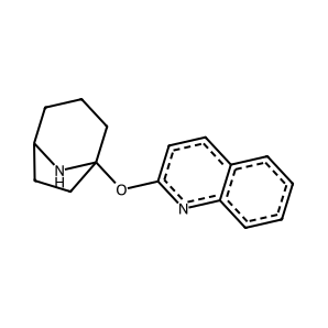 c1ccc2nc(OC34CCCC(CC3)N4)ccc2c1